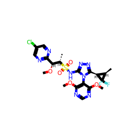 COc1ncnc(OC)c1-n1c(NS(=O)(=O)[C@@H](C)[C@H](OC)c2ncc(Cl)cn2)nnc1[C@H]1[C@@H](C)C1(F)F